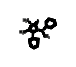 Cc1c(-c2ccccc2)n(N(C)c2ccccc2)c(=S)n1C